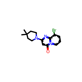 CC1(C)CCN(c2cc(=O)n3cccc(Br)c3n2)CC1